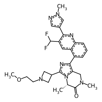 COCCN1CC(c2nc(-c3cccc4nc(-c5cnn(C)c5)c(C(F)F)cc34)c3n2[C@@H](C)C(=O)N(C)C3)C1